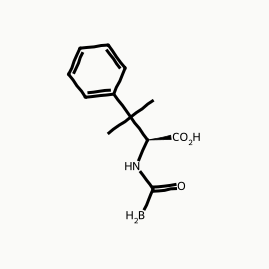 BC(=O)N[C@H](C(=O)O)C(C)(C)c1ccccc1